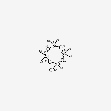 C[Si]1(C)O[Si](C)(C)O[Si](C)(Cl)O[Si](C)(C)O1